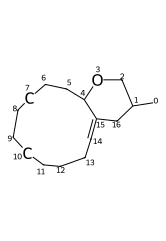 CC1COC2CCCCCCCCC/C=C\2C1